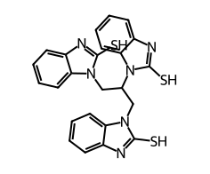 Sc1nc2ccccc2n1CC(Cn1c(S)nc2ccccc21)n1c(S)nc2ccccc21